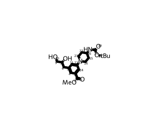 COC(=O)c1cc(CC(O)CO)cc(N2CCC(NC(=O)OC(C)(C)C)CC2)c1